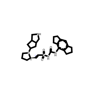 O=C(Nc1c2c(cc3c1CCC3)CCC2)NS(=O)(=O)/C=C/[C@H]1CCCN1C1CC2CNCC2C1